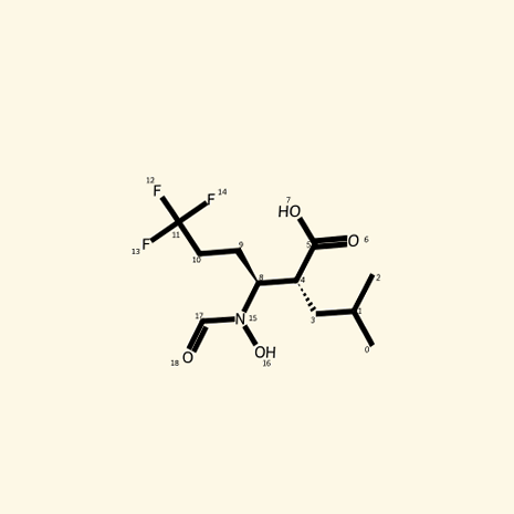 CC(C)C[C@@H](C(=O)O)[C@H](CCC(F)(F)F)N(O)C=O